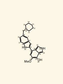 COc1cc(-c2cc3cc(CN4CCCCC4)ccc3[nH]2)c2c[nH]cc2c1O